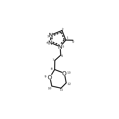 Cc1cnnn1CCC1OCCCO1